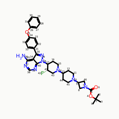 CC(C)(C)OC(=O)N1CC(N2CCC(N3CCC(n4nc(-c5ccc(Oc6ccccc6)cc5)c5c(N)ncnc54)[C@@H](F)C3)CC2)C1